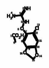 CC(=O)O.N=C(N)NOc1cc2c(cc1Cl)OCO2